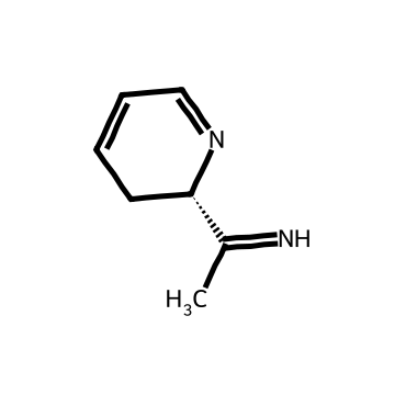 CC(=N)[C@@H]1CC=CC=N1